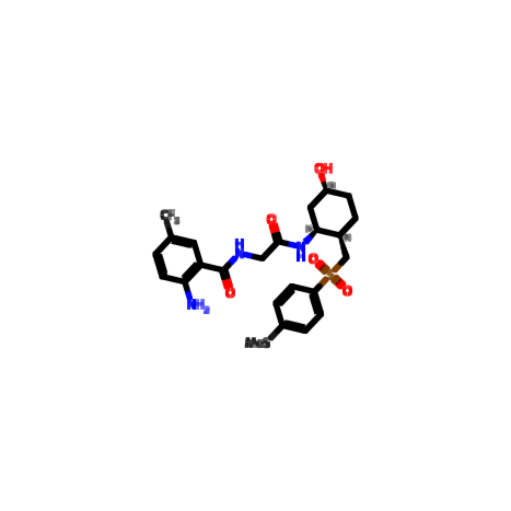 CSc1ccc(S(=O)(=O)C[C@@H]2CC[C@H](O)C[C@@H]2NC(=O)CNC(=O)c2cc(C(F)(F)F)ccc2N)cc1